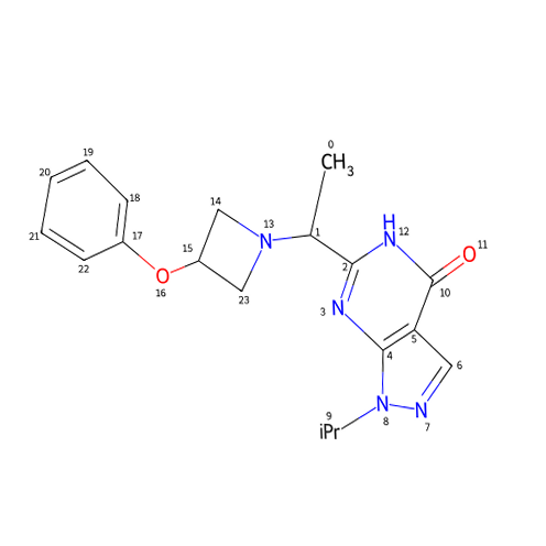 CC(c1nc2c(cnn2C(C)C)c(=O)[nH]1)N1CC(Oc2ccccc2)C1